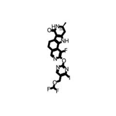 C[C@H]1Cc2[nH]c3c(c2C(=O)N1)CCc1cnc(Oc2ncc(COC(F)F)c(I)n2)c(F)c1-3